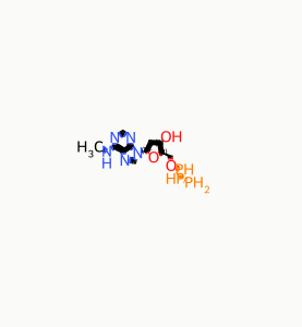 CNc1ncnc2c1ncn2[C@H]1C[C@@H](O)[C@@H](COPPP)O1